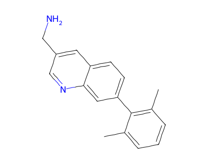 Cc1cccc(C)c1-c1ccc2cc(CN)cnc2c1